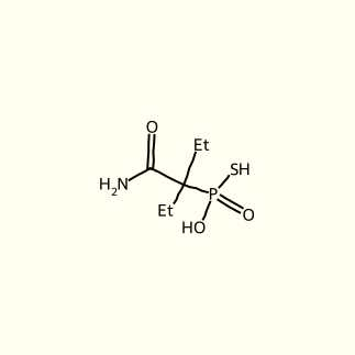 CCC(CC)(C(N)=O)P(=O)(O)S